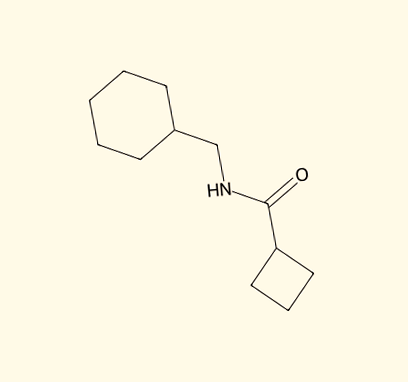 O=C(NCC1CCCCC1)C1CCC1